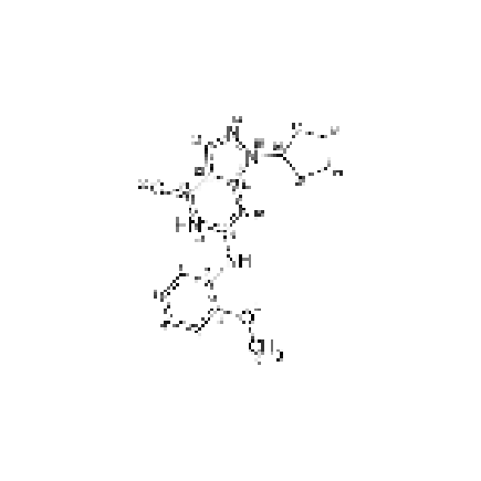 COc1ccccc1Nc1nc2c(cnn2C2CCCC2)c(=O)[nH]1